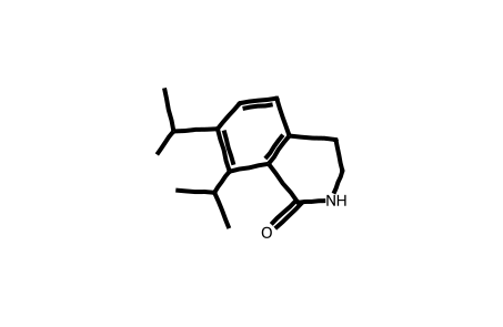 CC(C)c1ccc2c(c1C(C)C)C(=O)NCC2